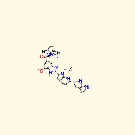 COc1cc(C(=O)N2C[C@H]3CC[C@@H]2[C@@H]3N)cc2nc(-c3cc4ccc(-c5cnc6[nH]ccc6c5)nc4n3CC3CC3)n(C)c12